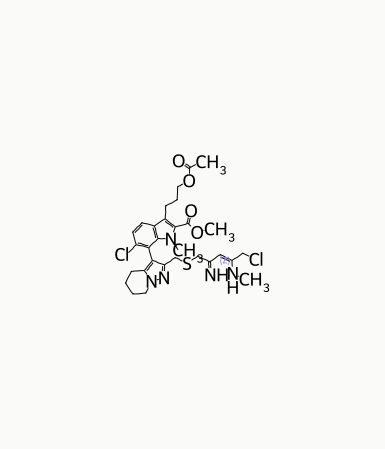 CN/C(=C\C(=N)CSCc1nn2c(c1-c1c(Cl)ccc3c(CCCOC(C)=O)c(C(=O)OC)n(C)c13)CCCC2)CCl